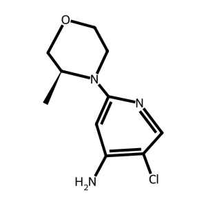 C[C@H]1COCCN1c1cc(N)c(Cl)cn1